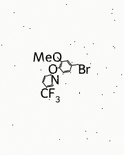 COc1cc(CBr)ccc1Oc1ccc(C(F)(F)F)cn1